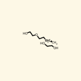 C=C.OCCO.OCCOCCO